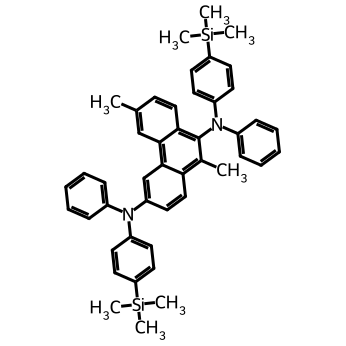 Cc1ccc2c(N(c3ccccc3)c3ccc([Si](C)(C)C)cc3)c(C)c3ccc(N(c4ccccc4)c4ccc([Si](C)(C)C)cc4)cc3c2c1